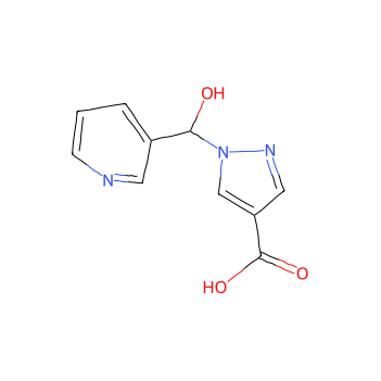 O=C(O)c1cnn(C(O)c2cccnc2)c1